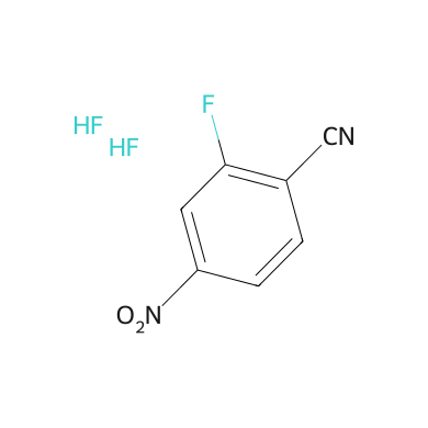 F.F.N#Cc1ccc([N+](=O)[O-])cc1F